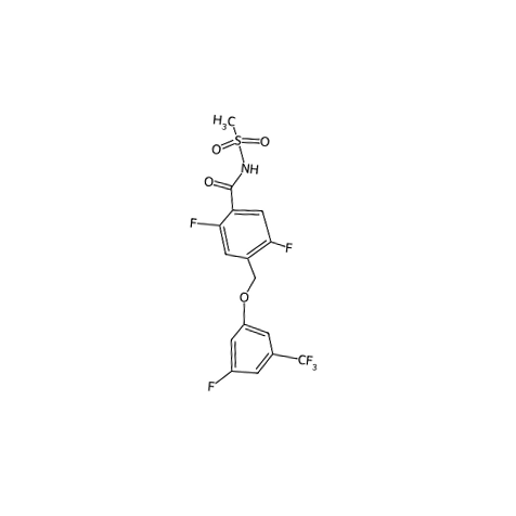 CS(=O)(=O)NC(=O)c1cc(F)c(COc2cc(F)cc(C(F)(F)F)c2)cc1F